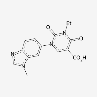 CCn1c(=O)c(C(=O)O)cn(-c2ccc3ncn(C)c3c2)c1=O